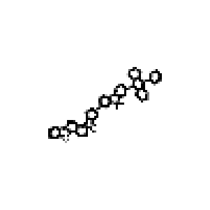 CC1(C)c2cc(-c3ccc4c(c3)oc3ccc5c(ccc6c7ccccc7oc65)c34)ccc2-c2ccc(-c3c4ccccc4c(-c4ccccc4)c4ccccc34)cc21